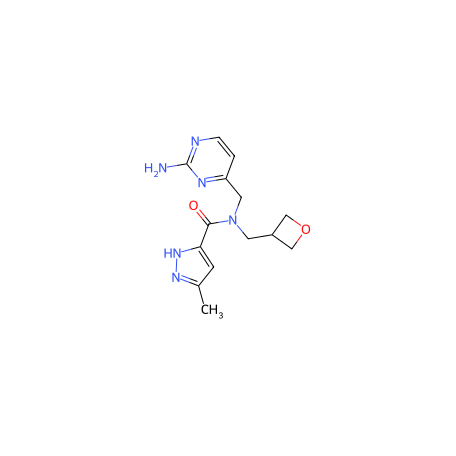 Cc1cc(C(=O)N(Cc2ccnc(N)n2)CC2COC2)[nH]n1